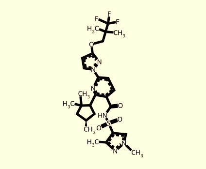 Cc1nn(C)cc1S(=O)(=O)NC(=O)c1ccc(-n2ccc(OCC(C)(C)C(F)(F)F)n2)nc1C1C[C@@H](C)CC1(C)C